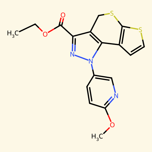 CCOC(=O)c1nn(-c2ccc(OC)nc2)c2c1CSc1sccc1-2